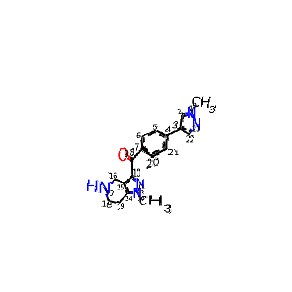 Cn1cc(-c2ccc(C(=O)c3nn(C)c4c3CNCC4)cc2)cn1